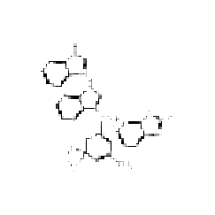 Br.CC1=CC(C)(C(=O)O)CC(C(=O)O)=C1.c1ccc2[nH]cnc2c1.c1ccc2[nH]cnc2c1.c1ccc2[nH]cnc2c1